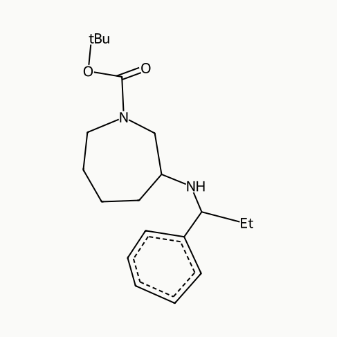 CCC(NC1CCCCN(C(=O)OC(C)(C)C)C1)c1ccccc1